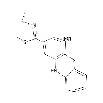 CC/N=C(\SC)c1ccc2c(c1)Nc1ccccc1S2.Cl